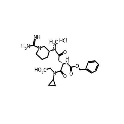 CN(C(=O)C[C@H](NC(=O)OCc1ccccc1)C(=O)N(CC(=O)O)C1CC1)[C@H]1CCCN(C(=N)N)C1.Cl